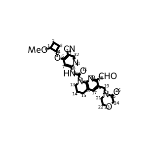 COC1CC[C@H]1Oc1cc(NC(=O)N2CCCc3cc(CN4CCOCC4=O)c(C=O)nc32)ncc1C#N